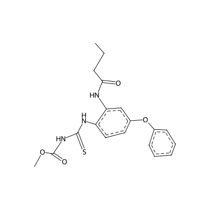 CCCC(=O)Nc1cc(Oc2ccccc2)ccc1NC(=S)NC(=O)OC